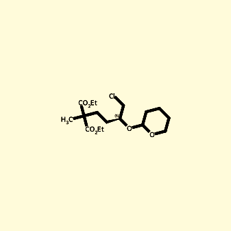 CCOC(=O)C(C)(CC[C@@H](CCl)OC1CCCCO1)C(=O)OCC